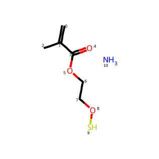 C=C(C)C(=O)OCCOS.N